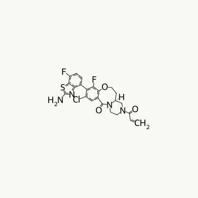 C=CC(=O)N1CCN2C(=O)c3cc(Cl)c(-c4ccc(F)c5sc(N)nc45)c(F)c3OCC[C@H]2C1